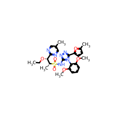 CCO[C@H](c1ncc(C)cn1)[C@@H](C)S(=O)(=O)Nc1nnc(-c2ccc(C)o2)n1-c1c(OC)cccc1OC